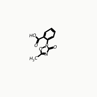 Cc1nc(=O)n(-c2ccccc2C(=O)O)o1